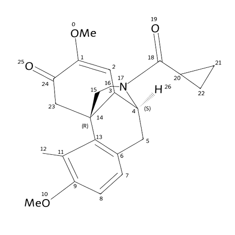 COC1=CC2[C@@H]3Cc4ccc(OC)c(C)c4[C@]2(CCN3C(=O)C2CC2)CC1=O